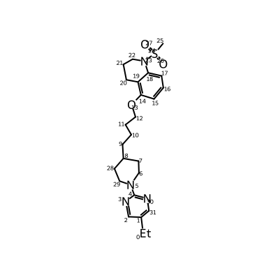 CCc1cnc(N2CCC(CCCCOc3cccc4c3CCCN4S(C)(=O)=O)CC2)nc1